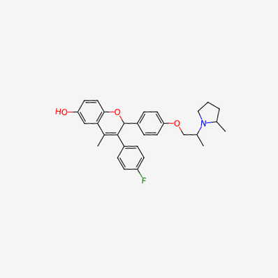 CC1=C(c2ccc(F)cc2)C(c2ccc(OCC(C)N3CCCC3C)cc2)Oc2ccc(O)cc21